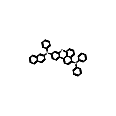 c1ccc(N(c2ccc3c(c2)Oc2cccc4c(N(c5ccccc5)c5ccccc5)ccc-3c24)c2ccc3ccccc3c2)cc1